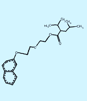 CC(C)CC(C(=O)OCCOCCOc1ccc2ccccc2c1)C(C)C